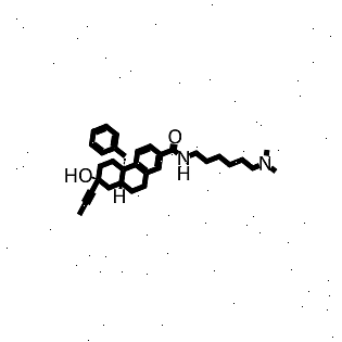 CC#C[C@@]1(O)CC[C@@]2(Cc3ccccc3)c3ccc(C(=O)NCCCCCCN(C)C)cc3CC[C@@H]2C1